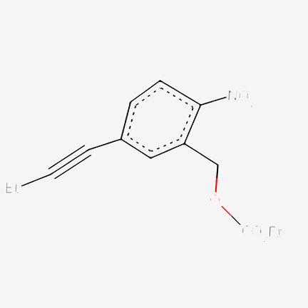 CCC#Cc1ccc([N+](=O)[O-])c(COC(=O)OCC)c1